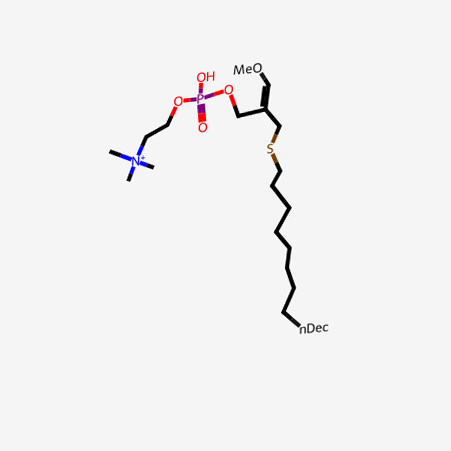 CCCCCCCCCCCCCCCCCCSCC(=COC)COP(=O)(O)OCC[N+](C)(C)C